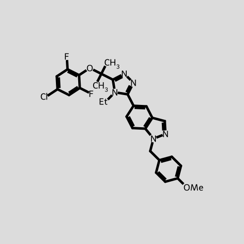 CCn1c(-c2ccc3c(cnn3Cc3ccc(OC)cc3)c2)nnc1C(C)(C)Oc1c(F)cc(Cl)cc1F